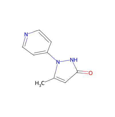 Cc1cc(=O)[nH]n1-c1ccncc1